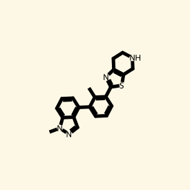 Cc1c(-c2nc3c(s2)CNCC3)cccc1-c1cccc2c1cnn2C